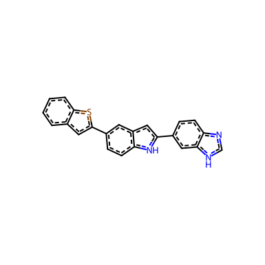 c1ccc2sc(-c3ccc4[nH]c(-c5ccc6nc[nH]c6c5)cc4c3)cc2c1